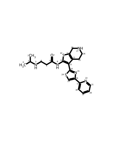 CC(C)NCCC(=O)Nc1sc2c(c1-c1nc(-c3ccccn3)cs1)CCNC2